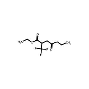 CCOC(=O)CC(C(=O)OCC)C(F)(F)F